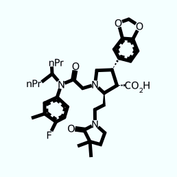 CCCC(CCC)N(C(=O)CN1C[C@H](c2ccc3c(c2)OCO3)[C@H](C(=O)O)[C@H]1CCN1CCC(C)(C)C1=O)c1ccc(F)c(C)c1